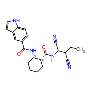 CCC(C#N)C(C#N)NC(=O)[C@@H]1CCCC[C@@H]1NC(=O)c1ccc2[nH]ccc2c1